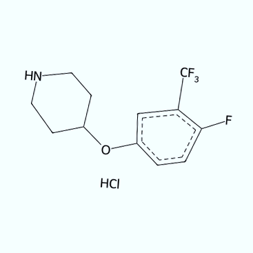 Cl.Fc1ccc(OC2CCNCC2)cc1C(F)(F)F